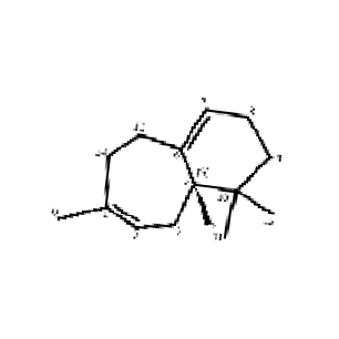 CC1=CC[C@]2(C)C(=CCCC2(C)C)CC1